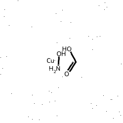 NO.O=CO.[Cu]